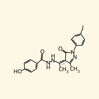 CC1=NN(c2ccc(I)cc2)C(=O)/C1=C(/C)NNC(=O)c1ccc(O)cc1